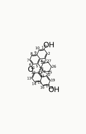 Oc1ccc2c3c(ccc2c1)Oc1ccc2cc(O)ccc2c1C31CCCCC1